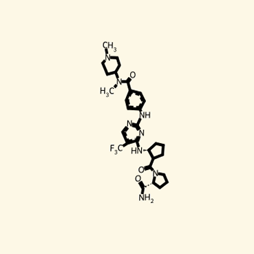 CN1CCC(N(C)C(=O)c2ccc(Nc3ncc(C(F)(F)F)c(N[C@@H]4CCCC4C(=O)N4CCC[C@@H]4C(N)=O)n3)cc2)CC1